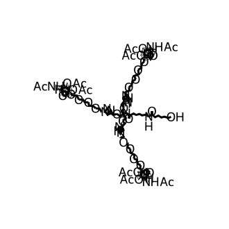 CC(=O)N[C@H]1[C@@H]2OC[C@](COCCOCCOCCOCCn3cc(COCC(COCc4cn(CCOCCOCCOCCOC[C@@]56CO[C@@H](O5)[C@H](NC(C)=O)[C@@H](OC(C)=O)[C@H]6OC(C)=O)nn4)(COCc4cn(CCOCCOCCOCCO[C@@]56CO[C@@H](O5)[C@H](NC(C)=O)[C@@H](OC(C)=O)[C@H]6OC(C)=O)nn4)NC(=O)CCCCCNC(=O)CCCCCO)nn3)(O2)[C@H](OC(C)=O)[C@@H]1OC(C)=O